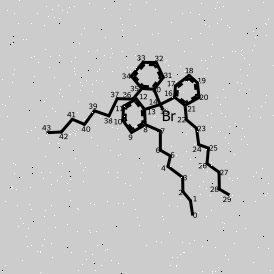 CCCCCCCCc1ccccc1C(Br)(c1ccccc1CCCCCCCC)c1ccccc1CCCCCCCC